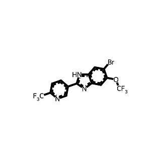 FC(F)(F)Oc1cc2nc(-c3ccc(C(F)(F)F)nc3)[nH]c2cc1Br